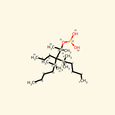 CCCC[Si](C)(C)C(CCC)([Si](C)(C)CCCC)[Si](C)(C)OP(O)O